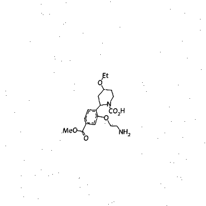 CCOC1CCN(C(=O)O)C(c2ccc(C(=O)OC)cc2OCCN)C1